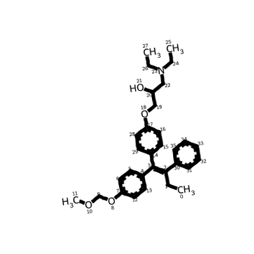 CC/C(=C(\c1ccc(OCOC)cc1)c1ccc(OCC(O)CN(CC)CC)cc1)c1ccccc1